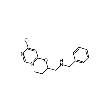 CCC(CNCc1ccccc1)Oc1cc(Cl)ncn1